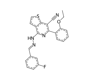 CCOc1ccccc1-c1nc(NN=Cc2cccc(F)c2)c2ccsc2c1C#N